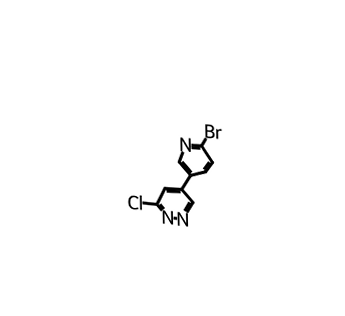 Clc1cc(-c2ccc(Br)nc2)cnn1